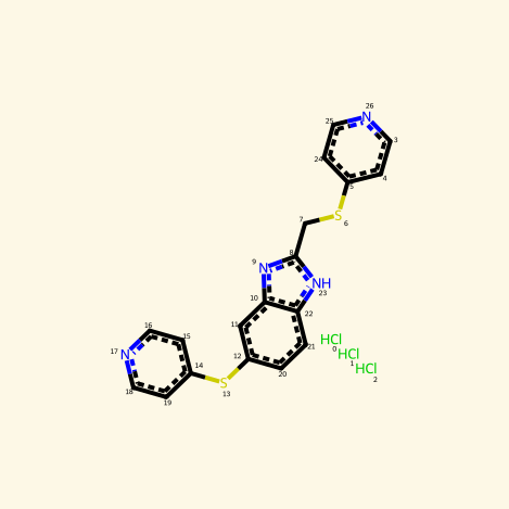 Cl.Cl.Cl.c1cc(SCc2nc3cc(Sc4ccncc4)ccc3[nH]2)ccn1